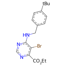 CCOC(=O)c1ncnc(NCc2ccc(C(C)(C)C)cc2)c1Br